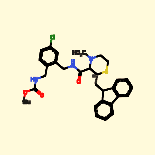 CC(C)(C)OC(=O)NCc1ccc(Cl)cc1CNC(=O)C1[C@@H](CC2c3ccccc3-c3ccccc32)SCCN1C(=O)O